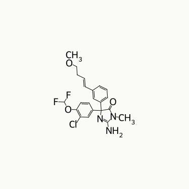 COCCC=Cc1cccc(C2(c3ccc(OC(F)F)c(Cl)c3)N=C(N)N(C)C2=O)c1